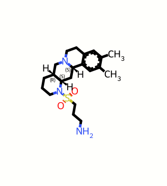 Cc1cc2c(cc1C)[C@@H]1C[C@H]3[C@H](CCCN3S(=O)(=O)CCCN)CN1CC2